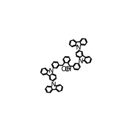 O=C(c1cccc(-n2c3ccccc3c3cc(-n4c5ccccc5c5ccccc54)ccc32)c1)c1ccccc1C(O)c1cccc(-n2c3ccccc3c3cc(-n4c5ccccc5c5ccccc54)ccc32)c1